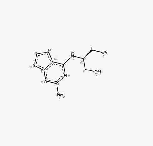 CC(C)C[C@@H](CO)Nc1nc(N)nc2sccc12